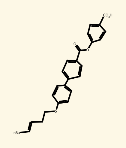 CCCC/C=C/CCSc1ccc(-c2ccc(C(=O)Oc3ccc(C(=O)O)cc3)cc2)cc1